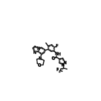 Cc1cc(F)c(NC(=O)c2cnn(C(C)C(F)(F)F)c2)cc1-c1cc(N2CCOCC2)c2nccn2c1